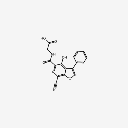 N#Cc1nc(C(=O)NCC(=O)O)c(O)c2c(-c3ccccc3)noc12